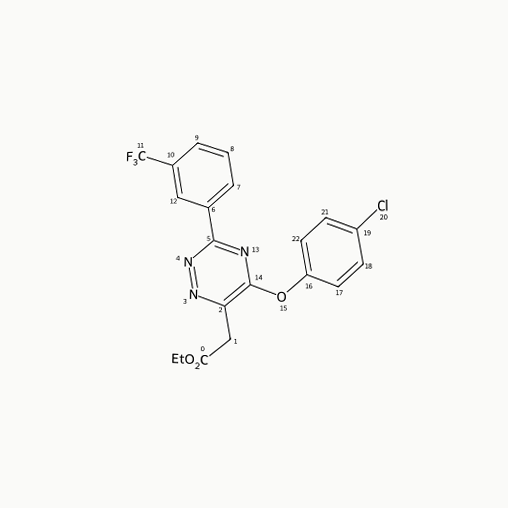 CCOC(=O)Cc1nnc(-c2cccc(C(F)(F)F)c2)nc1Oc1ccc(Cl)cc1